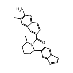 Cc1cc2cc(C(=O)N3C(C)CCCC3c3ccc4scnc4c3)ccc2nc1N